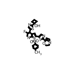 Cc1ccc(S(=O)(=O)n2c(-c3cnc(C45CCN(CCO4)C5)s3)cc3c(-c4cnc(C5(O)CCC5)s4)c(F)cnc32)cc1